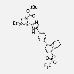 CC[C@H]1C[C@@H](c2ncc(-c3ccc(-c4ccc(OS(=O)(=O)C(F)(F)F)c5c4C4CCC5C4)cc3)[nH]2)N(C(=O)OC(C)(C)C)C1